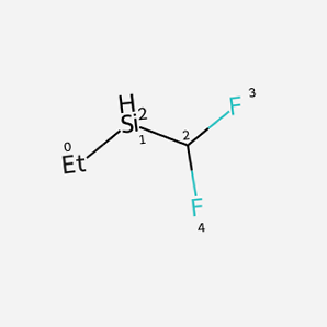 CC[SiH2]C(F)F